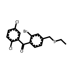 CCSCc1ccc(C(=O)c2cc(Cl)ccc2Cl)c(Br)c1